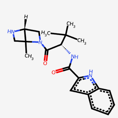 CC(C)(C)[C@H](NC(=O)c1cc2ccccc2[nH]1)C(=O)N1C[C@H]2NCC21C